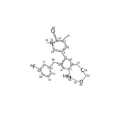 Cc1cc(-c2cc3c(cc2Cc2cccc(F)c2)NCOCCC3)cn(C)c1=O